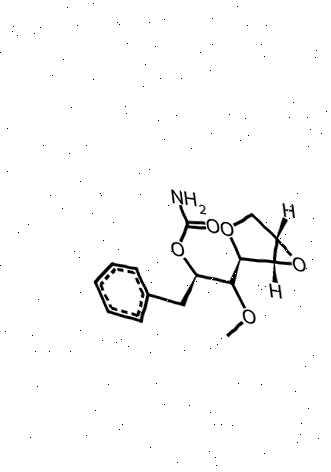 COC([C@H]1OC[C@@H]2O[C@@H]21)[C@@H](Cc1ccccc1)OC(N)=O